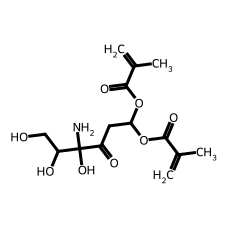 C=C(C)C(=O)OC(CC(=O)C(N)(O)C(O)CO)OC(=O)C(=C)C